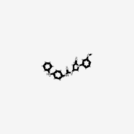 COc1cccc(N2CC(OC(=O)Nc3ccc(Nc4ccccc4)cc3)CC2=O)c1